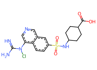 N=C(N)N(Cl)c1cncc2cc(S(=O)(=O)NC3CCC(C(=O)O)CC3)ccc12